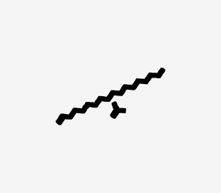 C=C(C)C.C=CCCCCCCCCCCCCCCCC